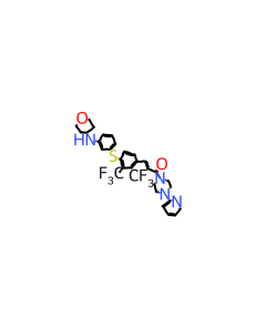 O=C(C=Cc1ccc(Sc2cccc(NC3CCOCC3)c2)c(C(F)(F)F)c1C(F)(F)F)N1CCN(c2ccccn2)CC1